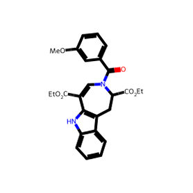 CCOC(=O)C1=CN(C(=O)c2cccc(OC)c2)C(C(=O)OCC)Cc2c1[nH]c1ccccc21